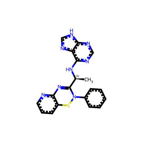 C[C@H](Nc1ncnc2[nH]cnc12)C1=Nc2ncccc2SN1c1ccccc1